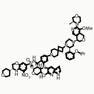 COc1c(N2CCOC[C@@H]2C)ncc2c1COC[C@H]2N1CCN(C2CC3(CCN(c4ccc(C(=O)NS(=O)(=O)c5cc6c(c([N+](=O)[O-])c5)N[C@H](C5CCOCC5)CO6)c(N5c6cc7cc[nH]c7nc6O[C@H]6COCC[C@@H]65)c4)CC3)C2)[C@H](c2ccccc2OC(C)C)C1